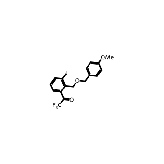 COc1ccc(COCc2c(I)cccc2C(=O)C(F)(F)F)cc1